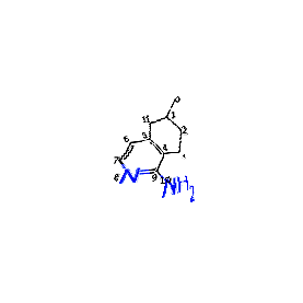 CC1CCc2c(ccnc2N)C1